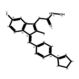 CC1=C(CC(=O)NO)c2cc(F)ccc2C1=Cc1ccc(C2=CCCC2)cc1